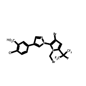 O=C(O)c1cc(-c2cnn(-c3c(Br)cc(C(F)(C(F)(F)F)C(F)(F)F)n3CBr)c2)ccc1Cl